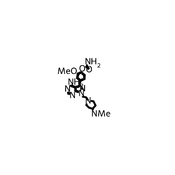 CNC1CCN(CCn2nc(-c3ccc(OC(N)=O)c(OC)c3)c3c(N)ncnc32)CC1